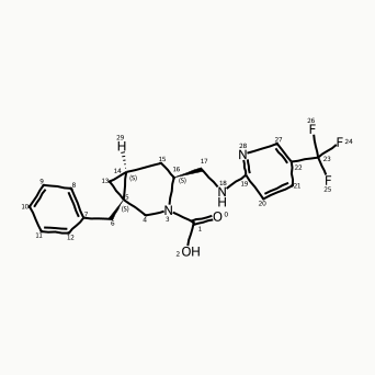 O=C(O)N1C[C@]2(Cc3ccccc3)C[C@H]2C[C@H]1CNc1ccc(C(F)(F)F)cn1